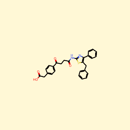 O=C(O)Cc1ccc(C(=O)CCC(=O)Nc2nc(-c3ccccc3)c(Cc3ccccc3)s2)cc1